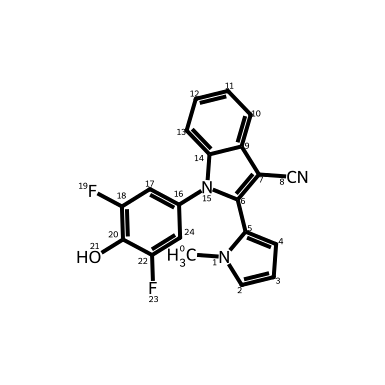 Cn1cccc1-c1c(C#N)c2ccccc2n1-c1cc(F)c(O)c(F)c1